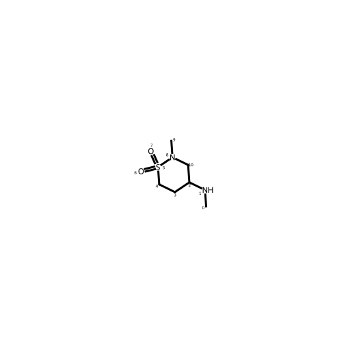 CNC1CCS(=O)(=O)N(C)C1